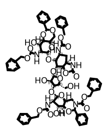 O=C(N[C@H]1[C@@H](O[C@H]2[C@@H](O)[C@H](O[C@@H]3[C@H]4OC(=O)N[C@@H]4C[C@H](NC(=O)OCc4ccccc4)[C@H]3O[C@H]3O[C@@H]4COC(c5ccccc5)O[C@H]4[C@H](O)[C@H]3NC(=O)OCc3ccccc3)O[C@@H]2CO)O[C@H]2CN(C(=O)OCc3ccccc3)C(c3ccccc3)O[C@H]2[C@@H]1O)OCc1ccccc1